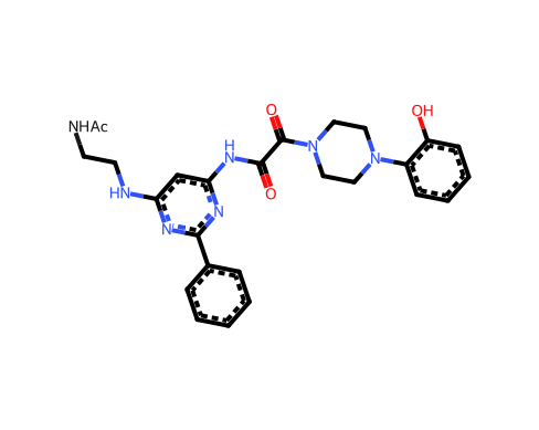 CC(=O)NCCNc1cc(NC(=O)C(=O)N2CCN(c3ccccc3O)CC2)nc(-c2ccccc2)n1